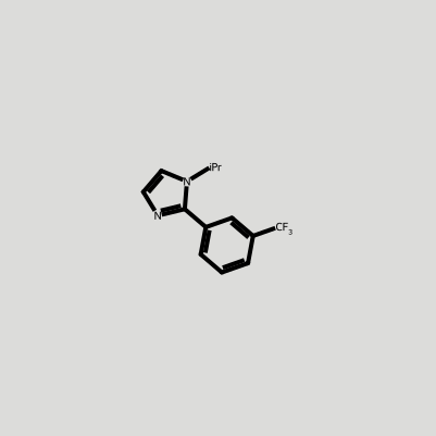 CC(C)n1ccnc1-c1cccc(C(F)(F)F)c1